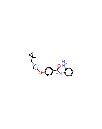 CC1(CN2CC(Oc3ccc(C(=O)Nc4ccccc4N)cc3)C2)CC1